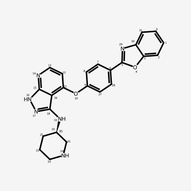 c1ccc2oc(-c3ccc(Oc4ccnc5[nH]nc(N[C@@H]6CCCNC6)c45)cc3)nc2c1